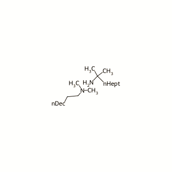 CCCCCCCC(C)(C)N.CCCCCCCCCCCCN(C)C